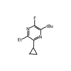 CCc1nc(F)c(C(C)(C)C)nc1C1CC1